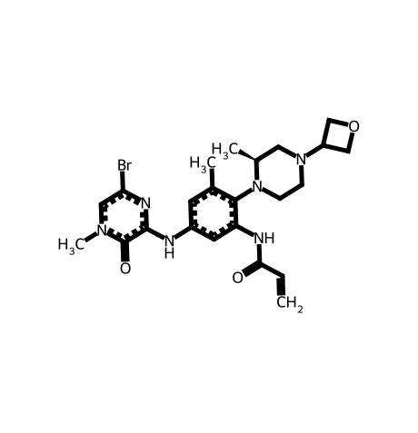 C=CC(=O)Nc1cc(Nc2nc(Br)cn(C)c2=O)cc(C)c1N1CCN(C2COC2)C[C@@H]1C